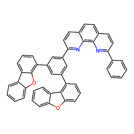 c1ccc(-c2ccc3ccc4ccc(-c5cc(-c6cccc7c6oc6ccccc67)cc(-c6cccc7oc8ccccc8c67)c5)nc4c3n2)cc1